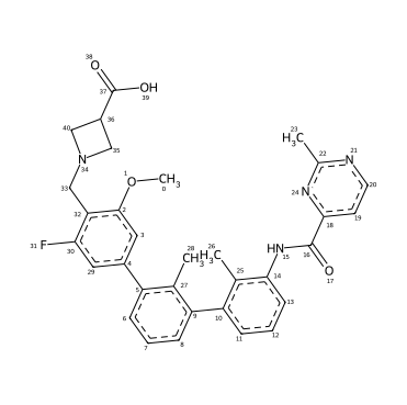 COc1cc(-c2cccc(-c3cccc(NC(=O)c4ccnc(C)n4)c3C)c2C)cc(F)c1CN1CC(C(=O)O)C1